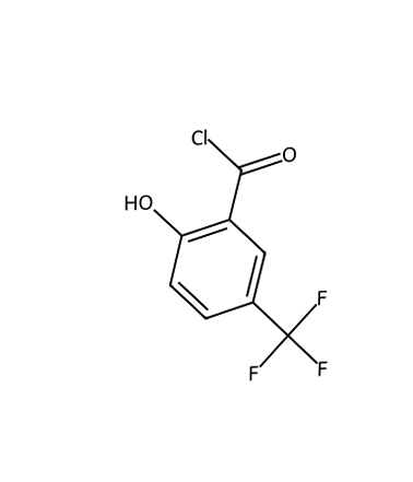 O=C(Cl)c1cc(C(F)(F)F)ccc1O